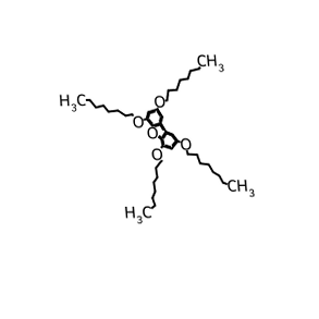 CCCCCCCCOc1cc(OCCCCCCCC)c2oc3c(OCCCCCCCC)cc(OCCCCCCCC)cc3c2c1